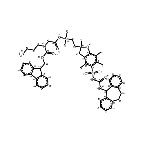 Cc1c(C)c(S(=O)(=O)NC(=S)NC2c3ccccc3CCc3ccccc32)c(C)c2c1OC(C)(CC[Si](C)(C)OC(=O)CN(CCCN)C(=O)OCC1c3ccccc3-c3ccccc31)C2